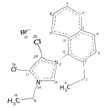 CCc1ccc2ccccc2c1-n1c[n+](CC)c(Cl)c1Cl.[Br-]